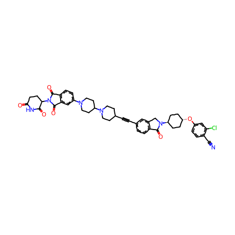 N#Cc1ccc(O[C@H]2CC[C@H](N3Cc4cc(C#CC5CCN(C6CCN(c7ccc8c(c7)C(=O)N(C7CCC(=O)NC7=O)C8=O)CC6)CC5)ccc4C3=O)CC2)cc1Cl